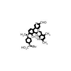 Cc1cc(C)c(CNC(=O)c2c(-c3ccc(C=O)nc3)ccc(N(C)C3CCC(N(C(=O)O)C(C)(C)C)CC3)c2C)c(=O)[nH]1